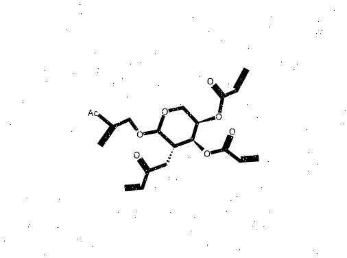 C=CC(=O)C[C@@H]1C(OCC(=C)C(C)=O)OC[C@@H](OC(=O)C=C)[C@H]1OC(=O)C=C